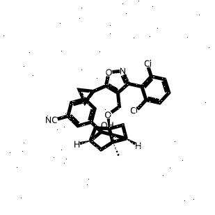 C[C@]12C[C@@H]3C[C@]1(OCc1c(-c4c(Cl)cccc4Cl)noc1C1CC1)C[C@H]2[C@]3(O)c1cccc(C#N)c1